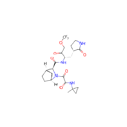 CC1(NC(=O)C(=O)N2[C@H]3CC[C@H](C3)[C@H]2C(=O)N[C@@H](C[C@@H]2CCNC2=O)C(=O)COC(F)(F)F)CC1